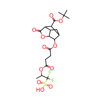 CC(OC(=O)CCC(=O)OC1C2CC3C1OC(=O)C3C2C(=O)OC(C)(C)C)C(F)(F)S(=O)(=O)O